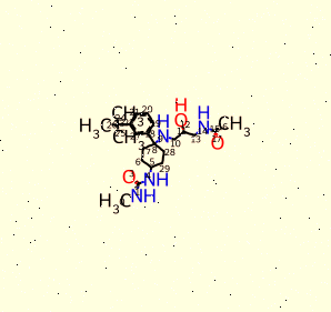 CNC(=O)NC1CCC(NC[C@@H](O)CNC(C)=O)(c2cccc(C(C)(C)C)c2)CC1